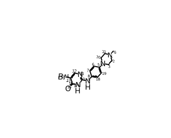 CN1CCN(c2ccc(Nc3ncc(Br)c(=O)[nH]3)cc2)CC1